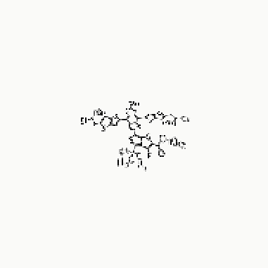 CCCCCCCCOC(=O)c1sc2c(-c3cc4c(-c5cc6sc(CC(CC)CCCC)cc6s5)c5sc(C(C)(C)C)cc5c(-c5cc6sc(CC(CC)CCCC)cc6s5)c4s3)sc(C(C)(C)CC)c2c1F